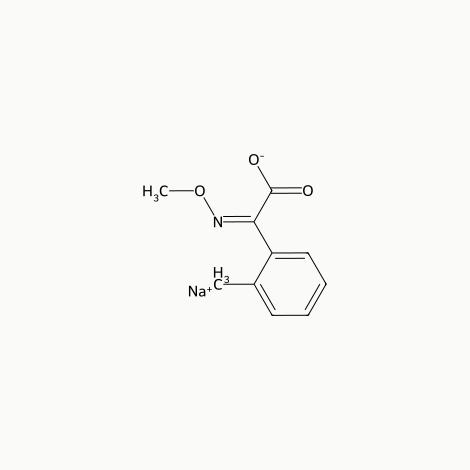 CON=C(C(=O)[O-])c1ccccc1C.[Na+]